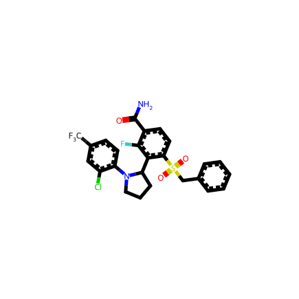 NC(=O)c1ccc(S(=O)(=O)Cc2ccccc2)c(C2CCCN2c2ccc(C(F)(F)F)cc2Cl)c1F